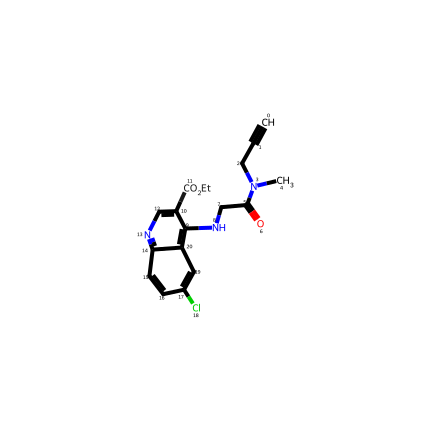 C#CCN(C)C(=O)CNc1c(C(=O)OCC)cnc2ccc(Cl)cc12